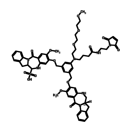 COCCOCCOCCN(CCCC(=O)NCCN1C(=O)C=CC1=O)c1cc(COc2cc3c(cc2OC)C(=O)N2c4ccccc4CC2C(S(=O)(=O)O)N3)cc(COc2cc3c(cc2OC)C(=O)N2c4ccccc4C[C@H]2CN3)c1